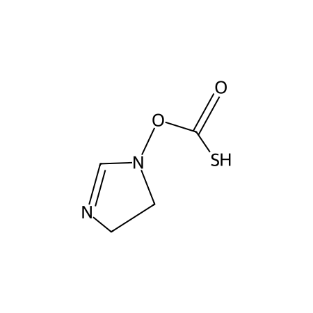 O=C(S)ON1C=NCC1